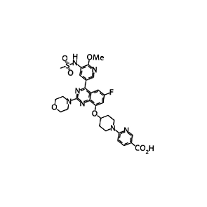 COc1ncc(-c2nc(N3CCOCC3)nc3c(OC4CCN(c5ccc(C(=O)O)cn5)CC4)cc(F)cc23)cc1NS(C)(=O)=O